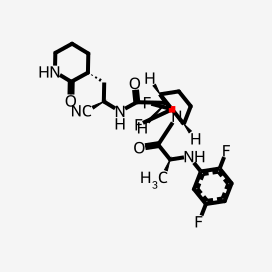 C[C@H](Nc1cc(F)ccc1F)C(=O)N1[C@H]2CC[C@@H]([C@H]1C(=O)N[C@@H](C#N)C[C@H]1CCCNC1=O)C(F)(F)C2